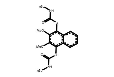 CCCCNC(=O)Oc1c(OC)c(OC)c(OC(=O)NCCCC)c2ccccc12